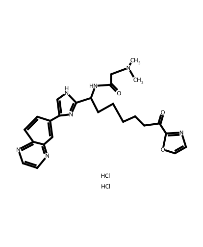 CN(C)CC(=O)NC(CCCCCC(=O)c1ncco1)c1nc(-c2ccc3nccnc3c2)c[nH]1.Cl.Cl